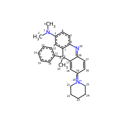 CN(C)c1ccc2c(c1)[Si](C)(c1ccccc1)C1=CC(=[N+]3CCCCC3)C=CC1=N2